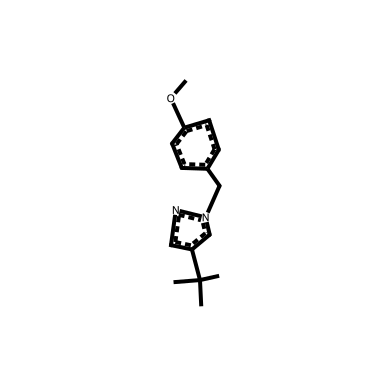 COc1ccc(Cn2cc(C(C)(C)C)cn2)cc1